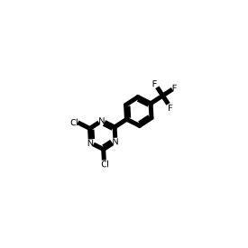 FC(F)(F)c1ccc(-c2nc(Cl)nc(Cl)n2)cc1